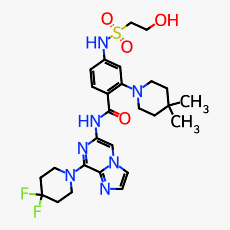 CC1(C)CCN(c2cc(NS(=O)(=O)CCO)ccc2C(=O)Nc2cn3ccnc3c(N3CCC(F)(F)CC3)n2)CC1